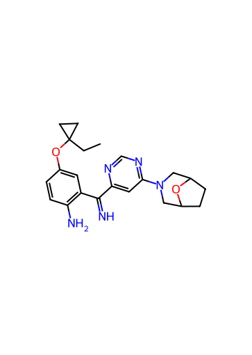 CCC1(Oc2ccc(N)c(C(=N)c3cc(N4CC5CCC(C4)O5)ncn3)c2)CC1